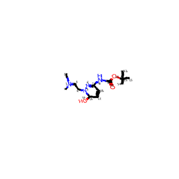 CN(C)CCN1N=C(NC(=O)OC(C)(C)C)C=CC1O